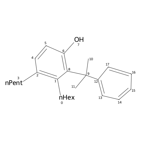 CCCCCCc1c(CCCCC)ccc(O)c1C(C)(C)c1ccccc1